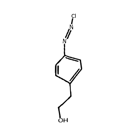 OCCc1ccc(/N=N/Cl)cc1